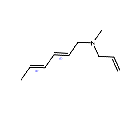 C=CCN(C)C/C=C/C=C/C